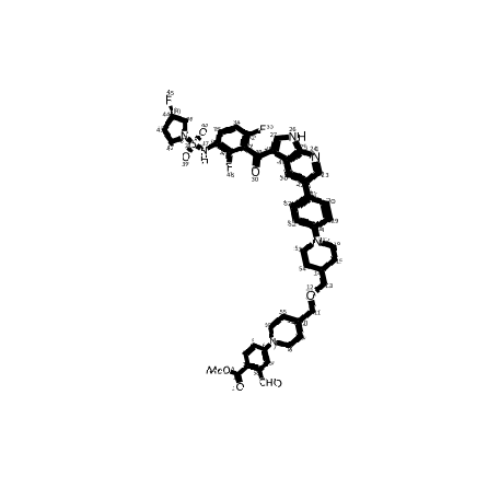 COC(=O)c1ccc(N2CCC(COCC3CCN(c4ccc(-c5cnc6[nH]cc(C(=O)c7c(F)ccc(NS(=O)(=O)N8CC[C@@H](F)C8)c7F)c6c5)cc4)CC3)CC2)cc1C=O